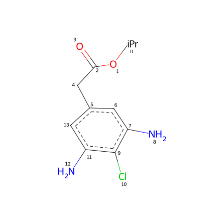 CC(C)OC(=O)Cc1cc(N)c(Cl)c(N)c1